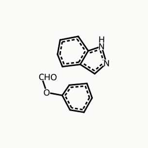 O=COc1ccccc1.c1ccc2[nH]ncc2c1